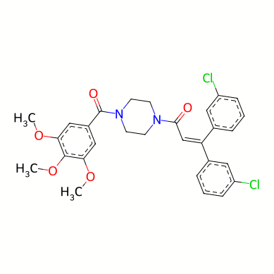 COc1cc(C(=O)N2CCN(C(=O)C=C(c3cccc(Cl)c3)c3cccc(Cl)c3)CC2)cc(OC)c1OC